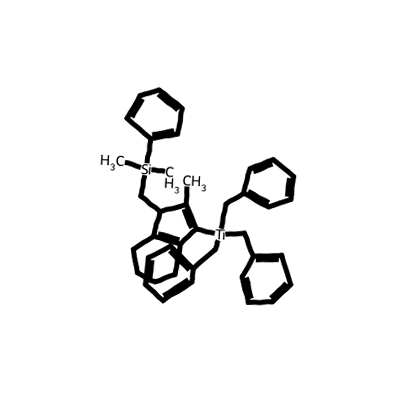 CC1=[C]([Ti]([CH2]c2ccccc2)([CH2]c2ccccc2)[CH2]c2ccccc2)C2=C(CCCC2)C1C[Si](C)(C)c1ccccc1